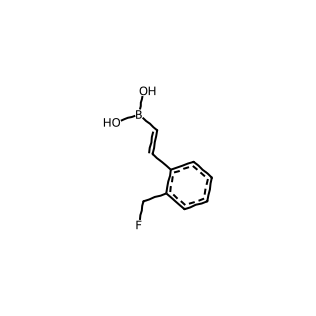 OB(O)C=Cc1ccccc1CF